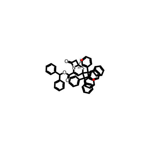 O=C(OC(c1ccccc1)c1ccccc1)C1=CC(C(c2ccccc2)(c2ccccc2)c2ccccc2)(C(c2ccccc2)(c2ccccc2)c2ccccc2)S[C@@H]2CC(=O)N12